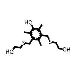 Cc1c(O)c(C)c(CSCCO)c(C)c1CSCCO